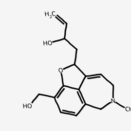 C=CC(O)CC1Oc2c(CO)ccc3c2C1=CCN(C)C3